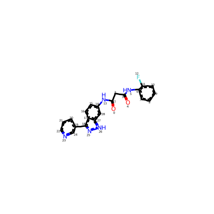 O=C(CC(=O)Nc1ccccc1F)Nc1ccc2c(-c3cccnc3)n[nH]c2c1